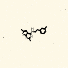 Cc1cccc(CCNc2nc(C)nc3sc(C)cc23)c1